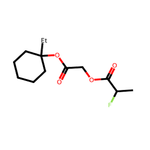 CCC1(OC(=O)COC(=O)C(C)F)CCCCC1